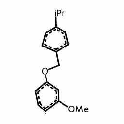 COc1[c]ccc(OCc2ccc(C(C)C)cc2)c1